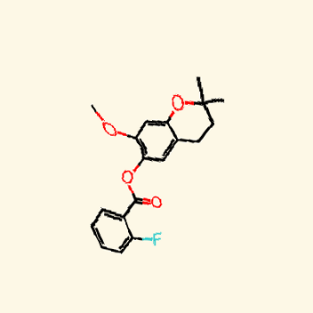 COc1cc2c(cc1OC(=O)c1ccccc1F)CCC(C)(C)O2